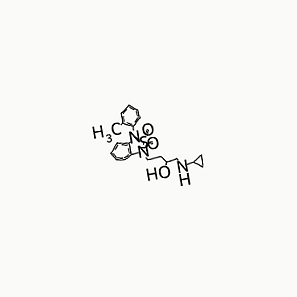 Cc1ccccc1N1c2ccccc2N(CC[C@H](O)CNC2CC2)S1(=O)=O